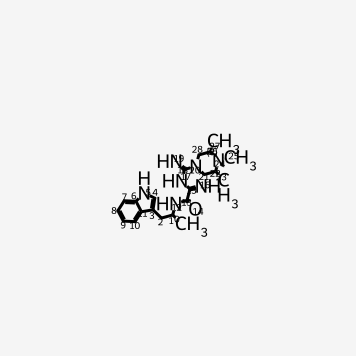 CC(Cc1c[nH]c2ccccc12)NC(=O)C(=N)NC(=N)N1CC(C)N(C)[C@H](C)C1